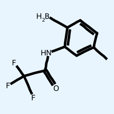 Bc1ccc(C)cc1NC(=O)C(F)(F)F